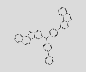 c1ccc(-c2ccc(N(c3ccc(-c4ccc5ccc6ccccc6c5c4)cc3)c3ccc4oc5c6cccnc6ccc5c4c3)cc2)cc1